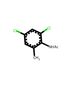 CC(=O)Nc1c(C)cc(Cl)cc1Cl